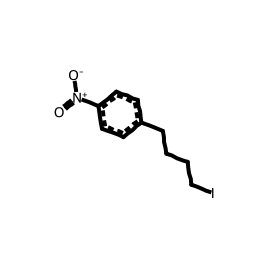 O=[N+]([O-])c1ccc(CCCCI)cc1